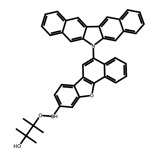 CC(C)(O)C(C)(C)OBc1ccc2c(c1)oc1c3ccccc3c(-n3c4cc5ccccc5cc4c4cc5ccccc5cc43)cc21